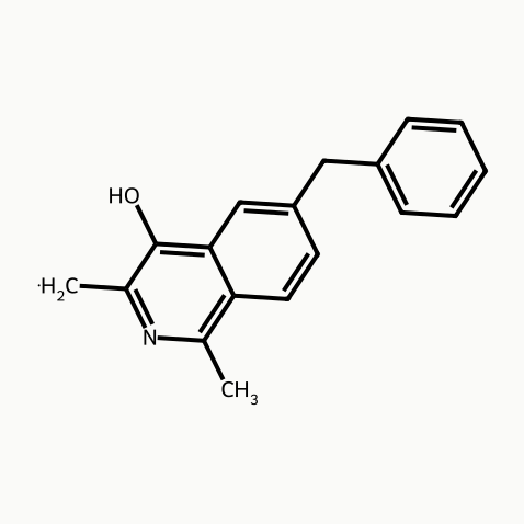 [CH2]c1nc(C)c2ccc(Cc3ccccc3)cc2c1O